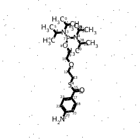 CC(C)N(C(C)C)P(OCCOCCSC(=O)c1ccc(N)cc1)N(C(C)C)C(C)C